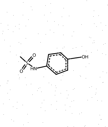 CS(=O)(=O)Nc1c[c]c(O)cc1